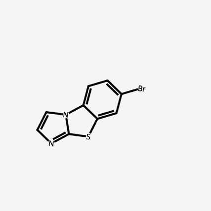 Brc1ccc2c(c1)sc1nccn12